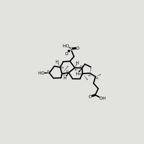 C[C@H](CCC(=O)O)[C@H]1CC[C@H]2[C@@H]3C(CS(=O)(=O)O)C[C@@H]4C[C@H](O)CC[C@]4(C)[C@H]3CC[C@]12C